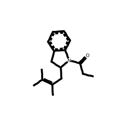 CCC(=O)N1c2ccccc2CC1CC(C)=C(C)C